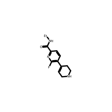 CCNC(=O)c1ccc(C2=CCNCC2)c(F)n1